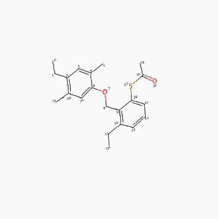 CCc1cc(C)c(OCc2c(CC)cccc2SC(C)=O)cc1C